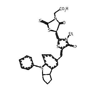 CCn1c(=O)/c(=C/c2ccc3c(c2)C2CCCC2N3c2ccccc2)s/c1=C1\SC(=S)N(CC(=O)O)C1=O